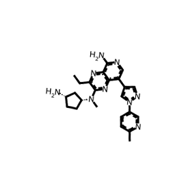 CCc1nc2c(N)ncc(-c3cnn(-c4ccc(C)nc4)c3)c2nc1N(C)[C@@H]1CC[C@H](N)C1